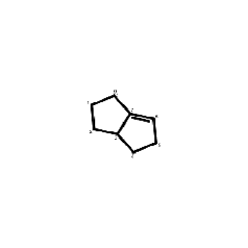 [C]1CCC2CCC=C12